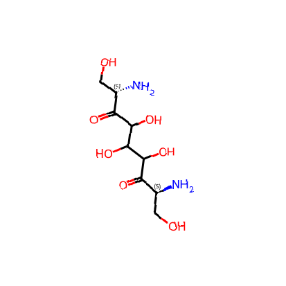 N[C@@H](CO)C(=O)C(O)C(O)C(O)C(=O)[C@@H](N)CO